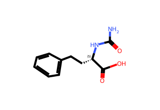 NC(=O)N[C@@H](CCc1ccccc1)C(=O)O